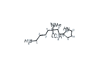 BCCCCC(CCC1CCCN1)(NC)C(=O)O